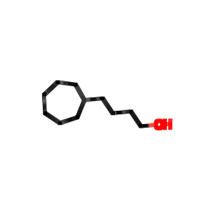 OCCCCC1CCCCCC1